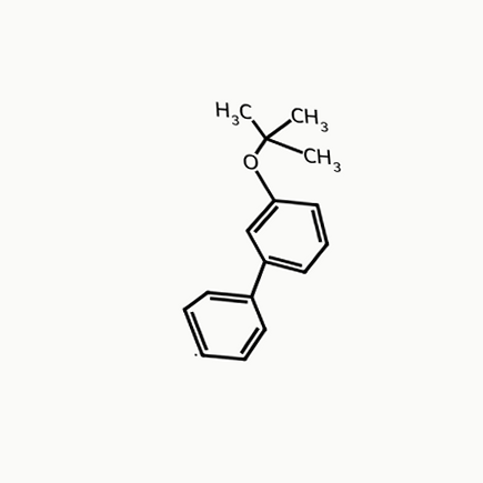 CC(C)(C)Oc1cccc(-c2cc[c]cc2)c1